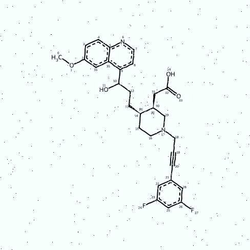 COc1ccc2nccc(C(O)CC[C@@H]3CCN(CC#Cc4cc(F)cc(F)c4)C[C@@H]3CC(=O)O)c2c1